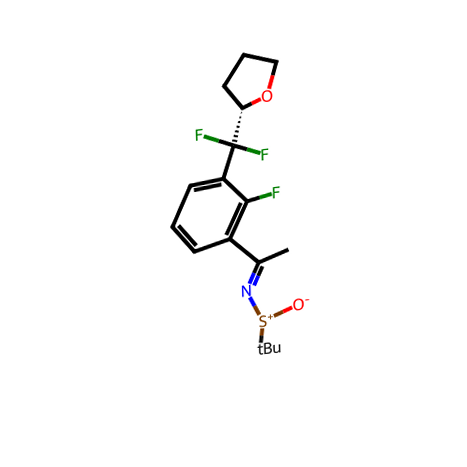 C/C(=N\[S+]([O-])C(C)(C)C)c1cccc(C(F)(F)[C@@H]2CCCO2)c1F